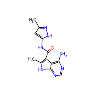 Cc1cc(NC(=O)c2c(C)[nH]c3ncnc(N)c23)[nH]n1